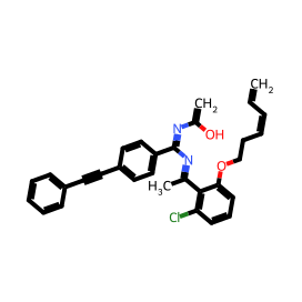 C=C/C=C\CCOc1cccc(Cl)c1/C(C)=N/C(=N\C(=C)O)c1ccc(C#Cc2ccccc2)cc1